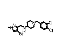 Cn1cc(Br)c(CNC2CCN(Cc3ccc(Cl)c(Cl)c3)CC2)n1